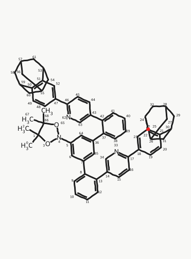 CC1(C)ON(c2cc(-c3ccccc3-c3ccc(-c4ccc5c(c4)C4CC6CC(CC5C6)C4)nc3)cc(-c3ccccc3-c3ccc(-c4ccc5c(c4)C4CC6CC(CC5C6)C4)nc3)c2)OC1(C)C